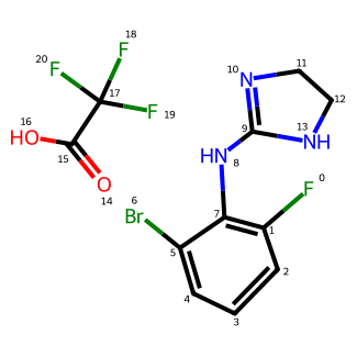 Fc1cccc(Br)c1NC1=NCCN1.O=C(O)C(F)(F)F